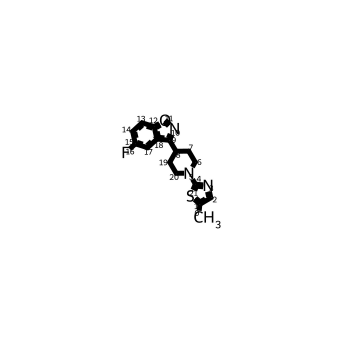 Cc1cnc(N2CCC(c3noc4ccc(F)cc34)CC2)s1